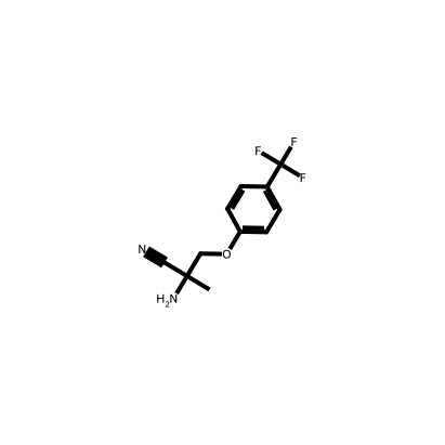 CC(N)(C#N)COc1ccc(C(F)(F)F)cc1